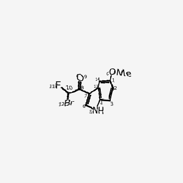 COc1ccc2[nH]cc(C(=O)C(F)Br)c2c1